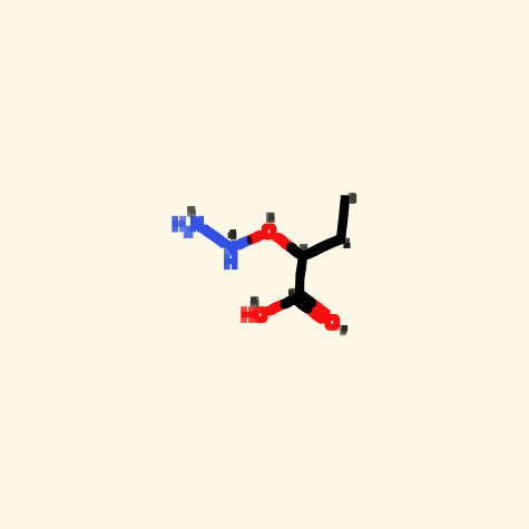 CCC(ONN)C(=O)O